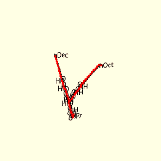 CCCCCCCC/C=C\CCCCCCCCCCCCCCCCCCCCCC(=O)NCCOCCNC(=O)CCOCCNC(=O)[C@H](CCC(=O)NCCOCCC(=O)NCCOCCNC(=O)CCCCCCCCCCCCCCCCCCCCCCCCCCCCC)NC(=O)CCOCCNC(=O)CCN1C(=O)CC(C(C)C)C1=O